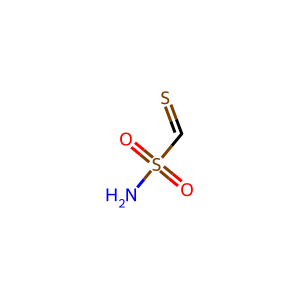 NS(=O)(=O)C=S